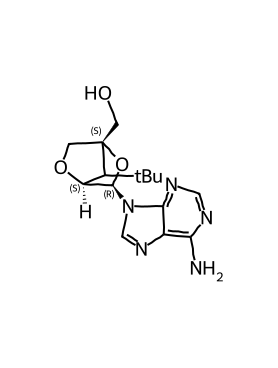 CC(C)(C)C1[C@@H]2OC[C@]1(CO)O[C@H]2n1cnc2c(N)ncnc21